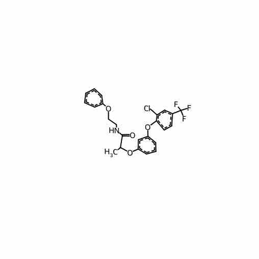 CC(Oc1cccc(Oc2ccc(C(F)(F)F)cc2Cl)c1)C(=O)NCCOc1ccccc1